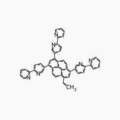 C=Cc1cc(-c2ccc(-c3ccccn3)nc2)c2ccc3c(-c4ccc(-c5ccccn5)nc4)cc(-c4ccc(-c5ccccn5)nc4)c4ccc1c2c43